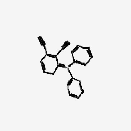 [C]#CC1=C(C#[C])C(=[Si](c2ccccc2)c2ccccc2)CC=C1